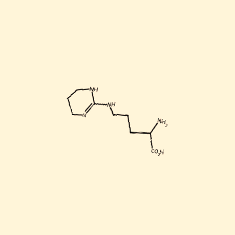 NC(CCCNC1=NCCCN1)C(=O)O